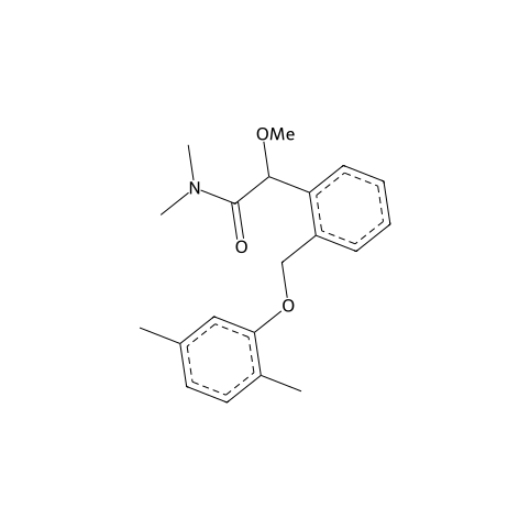 COC(C(=O)N(C)C)c1ccccc1COc1cc(C)ccc1C